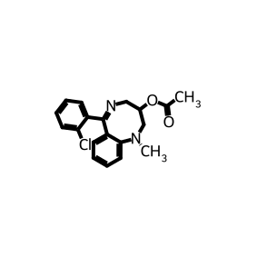 CC(=O)OC1C/N=C(/c2ccccc2Cl)c2ccccc2N(C)C1